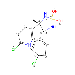 C[C@@]1(c2ccc(Cl)nc2)NS(O)(O)N[C@@H]1c1ccc(Cl)cc1